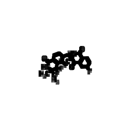 CC1(Cc2ccc3c(c2F)C(F)(F)C(C)(C)NC3=O)NC(=O)c2ccc(F)cc2C1=O